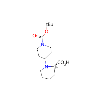 CC(C)(C)OC(=O)N1CCC(N2CCCC[C@@H]2C(=O)O)CC1